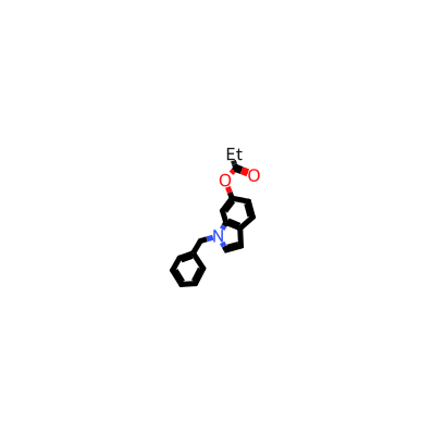 CCC(=O)Oc1ccc2ccn(Cc3ccccc3)c2c1